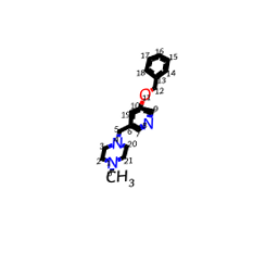 CN1CCN(Cc2cncc(OCc3ccccc3)c2)CC1